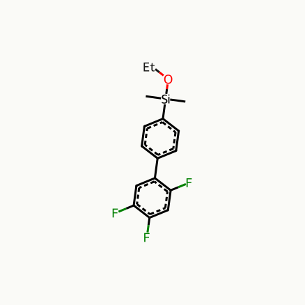 CCO[Si](C)(C)c1ccc(-c2cc(F)c(F)cc2F)cc1